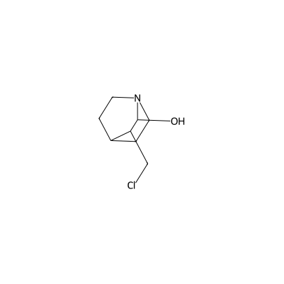 OC1C(CCl)C2CCN1CC2